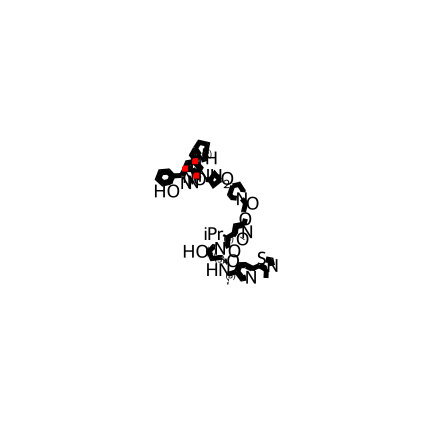 Cc1ncsc1-c1ccc([C@H](C)NC(=O)[C@@H]2C[C@@H](O)CN2C(=O)[C@H](c2cc(OCC(=O)N3CCC(OC4CC(Oc5cc(N6C7CC[C@@H]6CN(c6cc(-c8ccccc8O)nnc6N)C7)ccn5)C4)CC3)no2)C(C)C)cn1